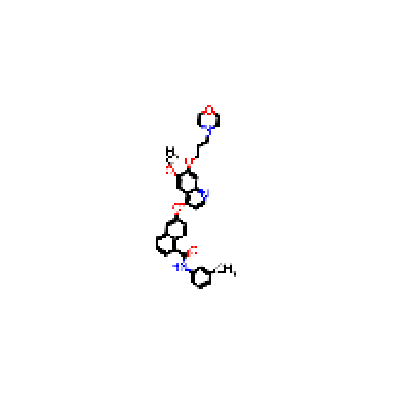 COc1cc2c(Oc3ccc4c(C(=O)Nc5cccc(C)c5)cccc4c3)ccnc2cc1OCCCN1CCOCC1